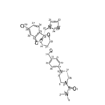 CN(C)C(=O)N1CCN(c2ccc(CO[C@H]3CO[C@](Cn4ccnc4)(c4ccc(Cl)cc4Cl)OC3)cc2)CC1